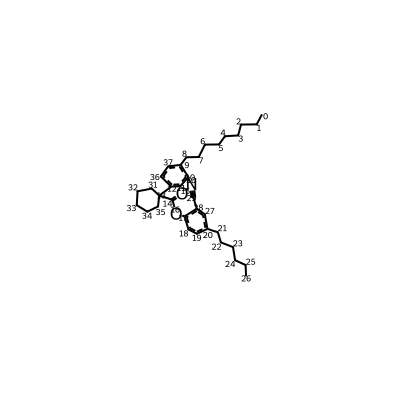 CCCCCCCCCc1ccc(C2(C(=O)Oc3ccc(CCCCCC)cc3C#N)CCCCC2)cc1